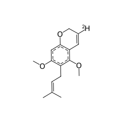 [2H]C1=Cc2c(cc(OC)c(CC=C(C)C)c2OC)OC1